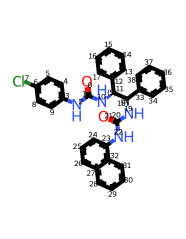 O=C(Nc1ccc(Cl)cc1)N[C@@H](c1ccccc1)[C@@H](NC(=O)Nc1cccc2ccccc12)c1ccccc1